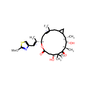 COc1nc(/C=C(\C)[C@@H]2C/C=C(/C(F)(F)F)CC3CC3[C@H](C)[C@H](O)[C@@H](C)C(=O)C(C)(C)[C@@H](O)CC(=O)O2)cs1